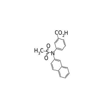 CS(=O)(=O)N(c1cccc(C(=O)O)c1)c1ccc2ccccc2c1